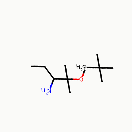 CCC(N)C(C)(C)O[SiH2]C(C)(C)C